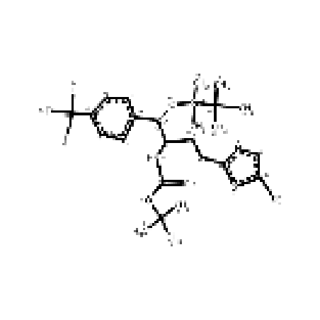 CC(C)(C)OC(=O)NC(CCc1ncc(Br)s1)[C@@H](O[Si](C)(C)C(C)(C)C)c1ccc(C(F)(F)F)cc1